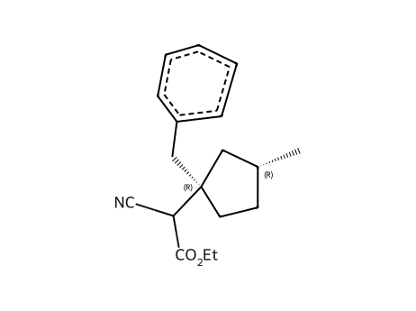 CCOC(=O)C(C#N)[C@]1(Cc2ccccc2)CC[C@@H](C)C1